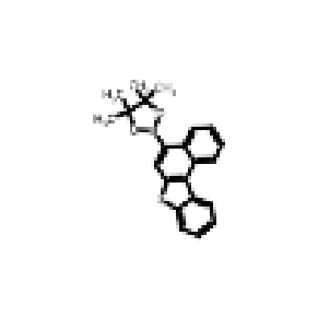 CC1(C)OB(c2cc3sc4ccccc4c3c3ccccc23)OC1(C)C